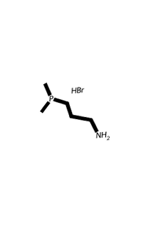 Br.CP(C)CCCN